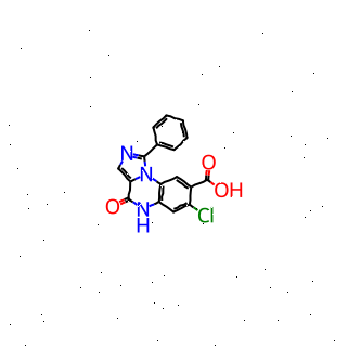 O=C(O)c1cc2c(cc1Cl)[nH]c(=O)c1cnc(-c3ccccc3)n12